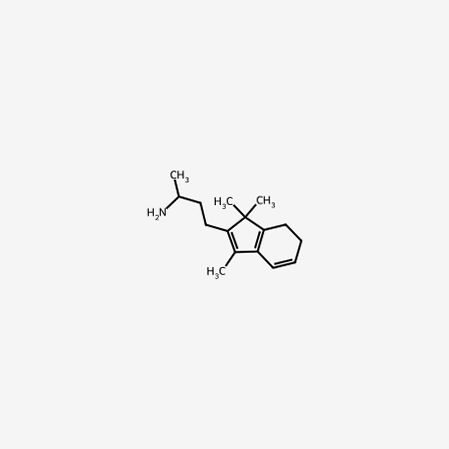 CC1=C(CCC(C)N)C(C)(C)C2=C1C=CCC2